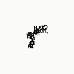 BC(B)(C1CCOCC1)N1C[C@H]2C[C@H](Nc3nnc(-c4ccc5c(cnn5C)c4)cc3C(F)(F)F)C[C@H]2C1